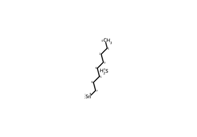 CCCCCCC[CH2][Sn].S